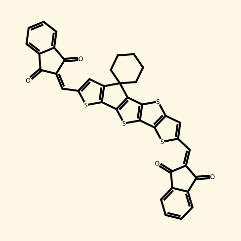 O=C1C(=Cc2cc3c(s2)-c2sc4c(sc5cc(C=C6C(=O)c7ccccc7C6=O)sc54)c2C32CCCCC2)C(=O)c2ccccc21